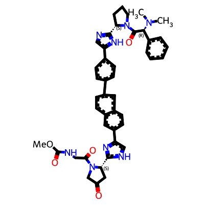 COC(=O)NCC(=O)N1CC(=O)C[C@H]1c1nc(-c2ccc3cc(-c4ccc(-c5cnc([C@@H]6CCCN6C(=O)[C@@H](c6ccccc6)N(C)C)[nH]5)cc4)ccc3c2)c[nH]1